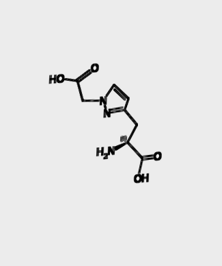 N[C@@H](Cc1ccn(CC(=O)O)n1)C(=O)O